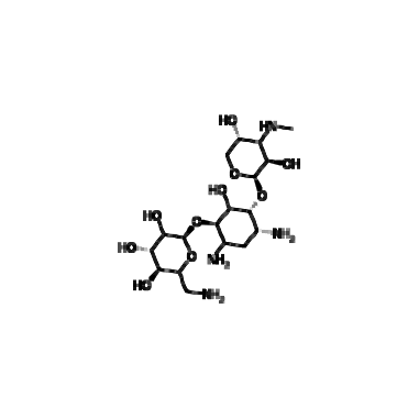 CNC1[C@@H](O)[C@@H](O[C@H]2C(O)[C@H](O[C@H]3OC(CN)[C@@H](O)[C@H](O)C3O)C(N)C[C@H]2N)OC[C@@H]1O